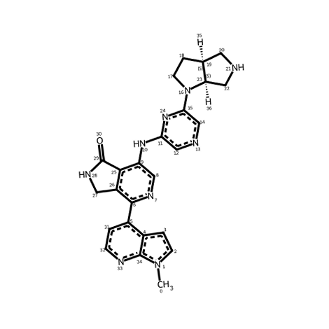 Cn1ccc2c(-c3ncc(Nc4cncc(N5CC[C@H]6CNC[C@H]65)n4)c4c3CNC4=O)ccnc21